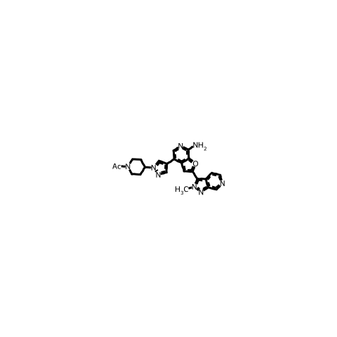 CC(=O)N1CCC(n2cc(-c3cnc(N)c4oc(-c5c6ccncc6nn5C)cc34)cn2)CC1